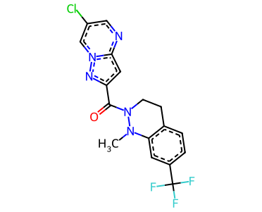 CN1c2cc(C(F)(F)F)ccc2CCN1C(=O)c1cc2ncc(Cl)cn2n1